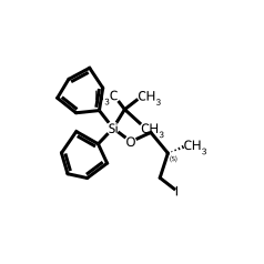 C[C@H](CI)CO[Si](c1ccccc1)(c1ccccc1)C(C)(C)C